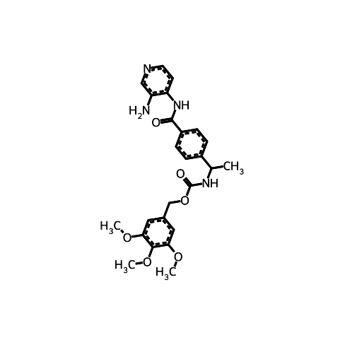 COc1cc(COC(=O)NC(C)c2ccc(C(=O)Nc3ccncc3N)cc2)cc(OC)c1OC